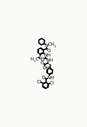 COc1cccc(C(=O)N(C)C2CCCCC2)c1NC(=O)N[C@@H](Cc1ccc(NC(=O)c2c(Cl)cccc2Cl)cc1)C(=O)O